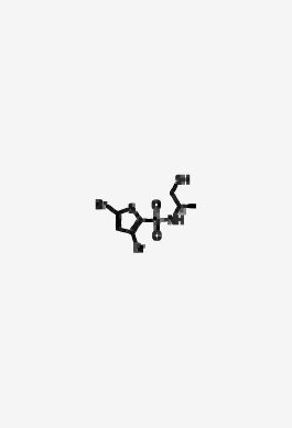 C[C@H](CS)NS(=O)(=O)c1sc(Br)cc1Br